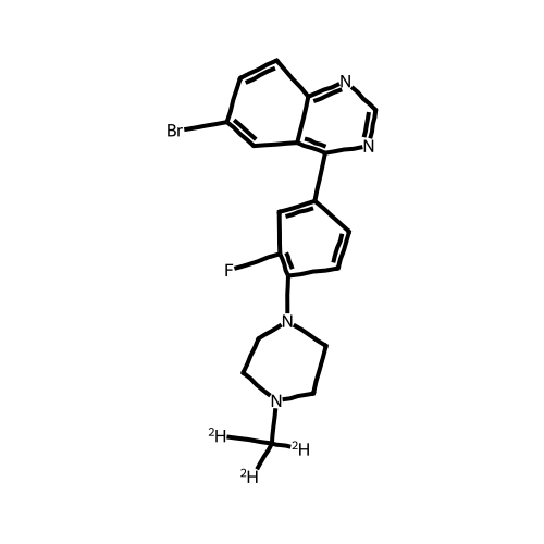 [2H]C([2H])([2H])N1CCN(c2ccc(-c3ncnc4ccc(Br)cc34)cc2F)CC1